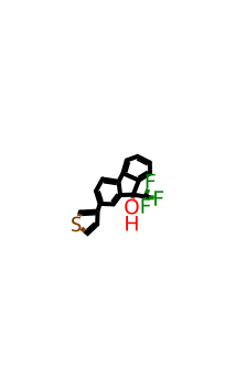 OC1(C(F)(F)F)c2ccccc2-c2ccc(-c3ccsc3)cc21